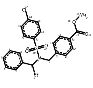 CCC(c1ccccc1)N(Cc1ccc(C(=O)ON)cc1)S(=O)(=O)c1ccc(Cl)cc1